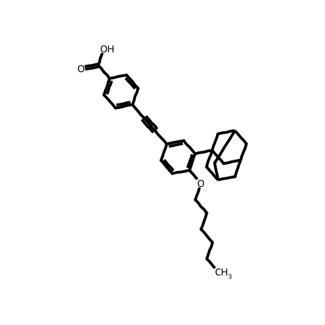 CCCCCCOc1ccc(C#Cc2ccc(C(=O)O)cc2)cc1C12CC3CC(CC(C3)C1)C2